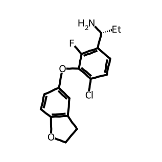 CC[C@@H](N)c1ccc(Cl)c(Oc2ccc3c(c2)CCO3)c1F